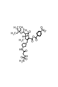 CC[Si](CC)(CC)O[C@H](C)C1C(=O)N2C(C(=O)OC(=O)c3ccc([N+](=O)[O-])cc3)=C(CN3CC[C@H](NC(=O)CNS(N)(=O)=O)C3)[C@H](C)[C@H]12